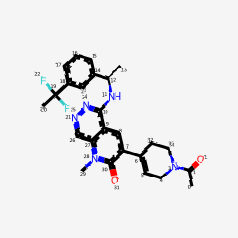 CC(=O)N1CC=C(c2cc3c(N[C@H](C)c4cccc(C(C)(F)F)c4)nncc3n(C)c2=O)CC1